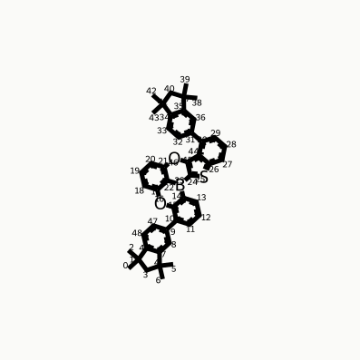 CC1(C)CC(C)(C)c2cc(-c3cccc4c3Oc3cccc5c3B4c3sc4cccc(-c6ccc7c(c6)C(C)(C)CC7(C)C)c4c3O5)ccc21